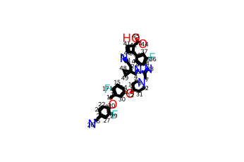 N#CCC1(Cn2c(CN3CCC(Oc4ccc(F)c(COc5ccc(C#N)cc5F)c4)CC3)nc3c(F)cc(C4C#CC4C(=O)O)cc32)CC1